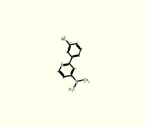 CN(C)c1ccnc(-c2cccc(C#N)c2)c1